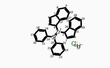 C1=C[CH]([Zr]([CH]2C=Cc3ccccc32)=[Si](c2ccccc2)c2ccccc2)c2ccccc21.[Cl-].[H-]